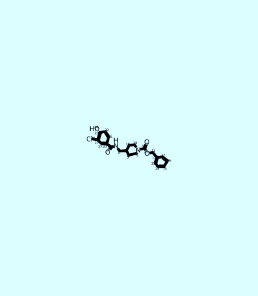 O=C(NCC1CCN(C(=O)OCc2ccccc2)CC1)c1ccc(O)c(Cl)c1